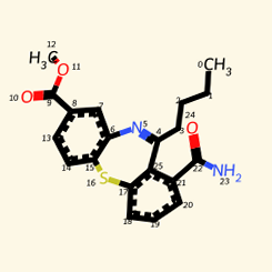 CCCCC1=Nc2cc(C(=O)OC)ccc2Sc2cccc(C(N)=O)c21